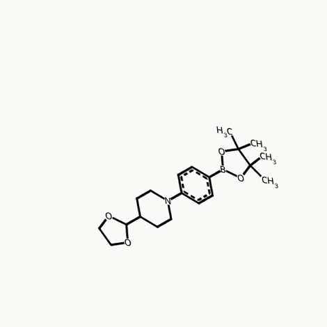 CC1(C)OB(c2ccc(N3CCC(C4OCCO4)CC3)cc2)OC1(C)C